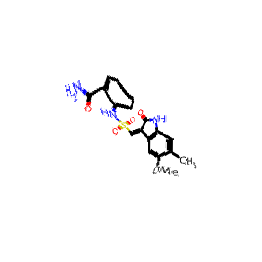 COc1cc2c(cc1C)NC(=O)/C2=C\S(=O)(=O)Nc1ccccc1C(N)=O